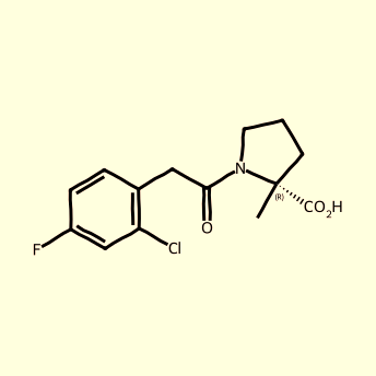 C[C@]1(C(=O)O)CCCN1C(=O)Cc1ccc(F)cc1Cl